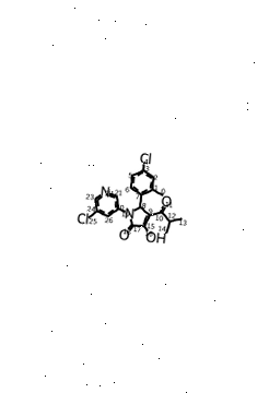 Cc1cc(Cl)ccc1C1C(C(=O)C(C)C)=C(O)C(=O)N1c1cncc(Cl)c1